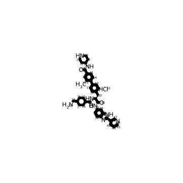 Cc1cc(C(=O)NC2CCNCC2)ccc1-c1ccc(C[C@H](NC(=O)C2CCC(CN)CC2)C(=O)Nc2ccc3nc(-c4cccnc4)[nH]c3c2)cc1.Cl